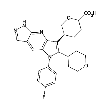 O=C(O)C1CC[C@@H](c2c(C3CCOCC3)n(-c3ccc(F)cc3)c3cc4cn[nH]c4nc23)CO1